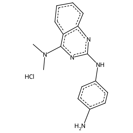 CN(C)c1nc(Nc2ccc(N)cc2)nc2ccccc12.Cl